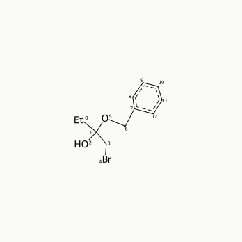 CCC(O)(CBr)OCc1ccccc1